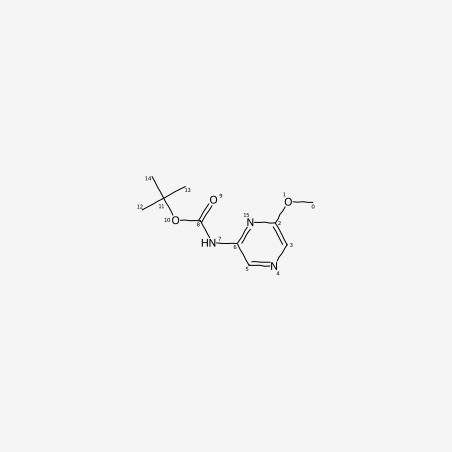 COc1cncc(NC(=O)OC(C)(C)C)n1